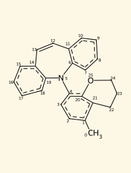 Cc1ccc(N2c3ccccc3C=Cc3ccccc32)c2c1CCCO2